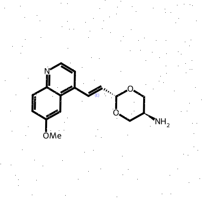 COc1ccc2nccc(/C=C/[C@H]3OC[C@H](N)CO3)c2c1